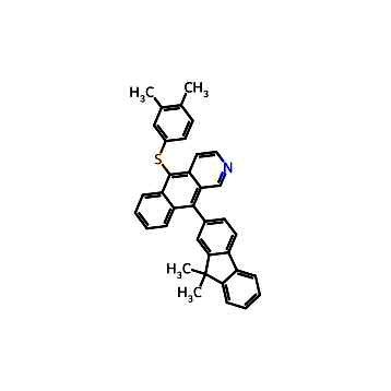 Cc1ccc(Sc2c3ccccc3c(-c3ccc4c(c3)C(C)(C)c3ccccc3-4)c3cnccc23)cc1C